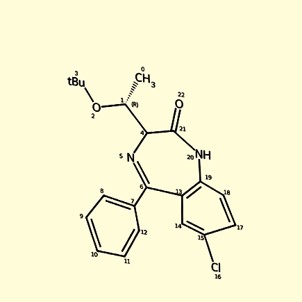 C[C@@H](OC(C)(C)C)C1N=C(c2ccccc2)c2cc(Cl)ccc2NC1=O